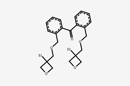 CCC1(COCc2ccccc2C(=O)c2ccccc2COCC2(CC)COC2)COC1